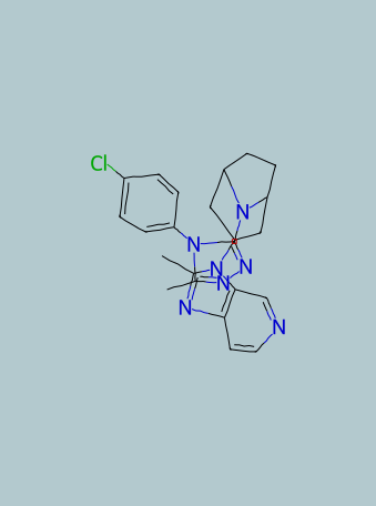 Cc1nnc(N2C3CCC2CC(n2c(C)nc4ccncc42)C3)n1-c1ccc(Cl)cc1